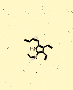 C=C/C=C\c1[nH]c(/N=C\C)c(C=C)c1C=C